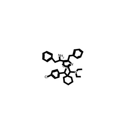 CCN(CC)C(c1nc(Cc2ccccc2)c(C(N)Cc2ccccc2)o1)C1(C(c2ccc(Cl)cc2)N(C)C)CCCCC1